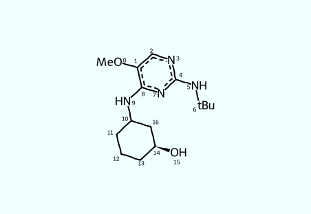 COc1cnc(NC(C)(C)C)nc1NC1CCC[C@H](O)C1